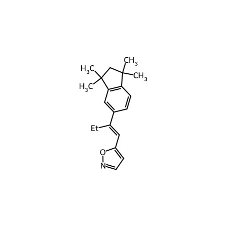 CCC(=Cc1ccno1)c1ccc2c(c1)C(C)(C)CC2(C)C